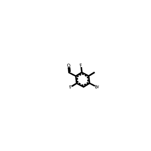 Cc1c(Br)cc(F)c(C=O)c1F